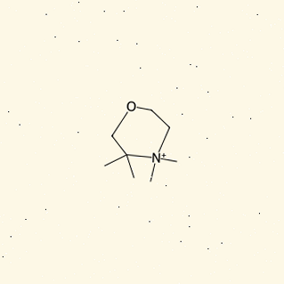 CC1(C)COCC[N+]1(C)C